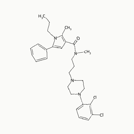 CCCn1c(-c2ccccc2)cc(C(=O)N(C)CCCN2CCN(c3cccc(Cl)c3Cl)CC2)c1C